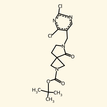 CC(C)(C)OC(=O)N1CC2(CCN(Cc3cnc(Cl)nc3Cl)C2=O)C1